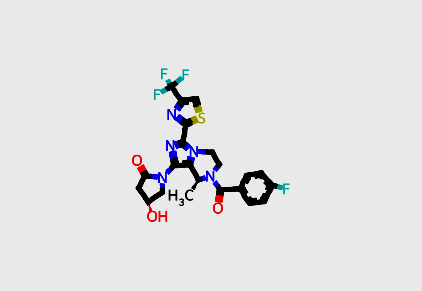 C[C@H]1c2c(N3C[C@H](O)CC3=O)nc(-c3nc(C(F)(F)F)cs3)n2CCN1C(=O)c1ccc(F)cc1